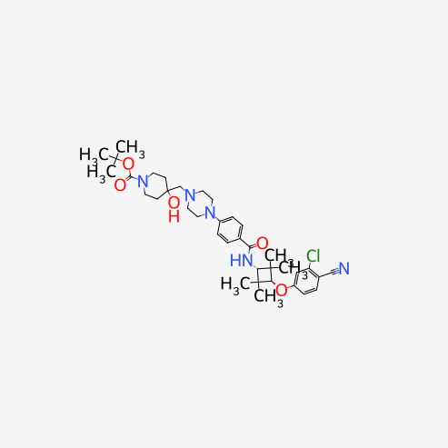 CC(C)(C)OC(=O)N1CCC(O)(CN2CCN(c3ccc(C(=O)N[C@H]4C(C)(C)[C@H](Oc5ccc(C#N)c(Cl)c5)C4(C)C)cc3)CC2)CC1